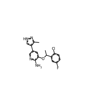 Cc1n[nH]cc1-c1cnc(N)c(OC(C)c2cc(F)ccc2Cl)c1